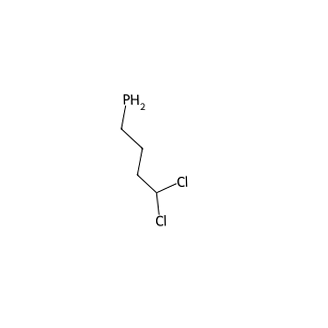 PCCCC(Cl)Cl